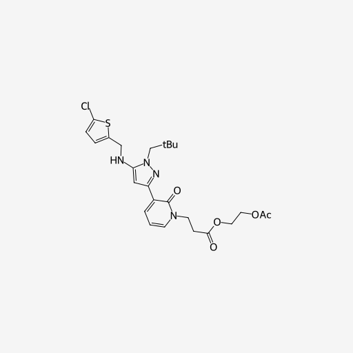 CC(=O)OCCOC(=O)CCn1cccc(-c2cc(NCc3ccc(Cl)s3)n(CC(C)(C)C)n2)c1=O